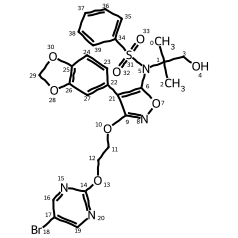 CC(C)(CO)N(c1onc(OCCOc2ncc(Br)cn2)c1-c1ccc2c(c1)OCO2)S(=O)(=O)c1ccccc1